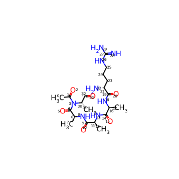 CC(=O)N(C(=O)[C@H](C)NC(=O)[C@H](C)NC(=O)[C@H](C)NC(=O)[C@H](N)CCCNC(=N)N)[C@@H](C)[C]=O